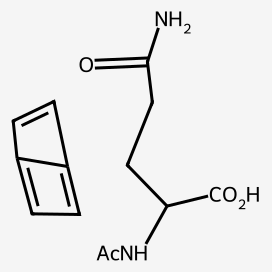 CC(=O)NC(CCC(N)=O)C(=O)O.c1cc2ccc1-2